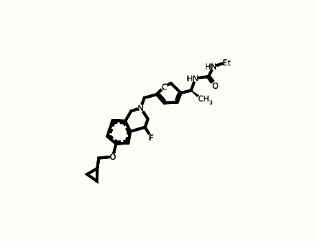 CCNC(=O)N[C@@H](C)C1=CC=C(CN2Cc3ccc(OCC4CC4)cc3C(F)C2)CC1